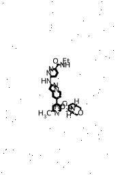 CCNC(=O)c1ccc(Nc2cc3cc(-c4cc(C)ncc4O[C@H]4C[C@H]5COC[C@@H](C4)N5C(=O)O)ccn3n2)nn1